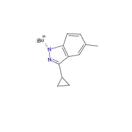 CC[C@@H](C)n1nc(C2CC2)c2cc(C)ccc21